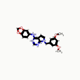 COc1cc(Cn2ccc3c(Nc4ccc5c(c4)OCO5)ncnc32)cc(OC)c1